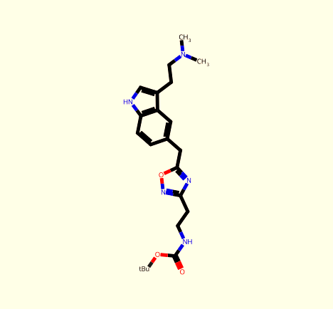 CN(C)CCc1c[nH]c2ccc(Cc3nc(CCNC(=O)OC(C)(C)C)no3)cc12